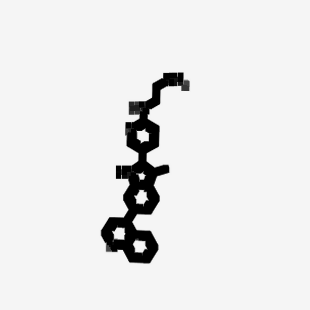 Cc1c(-c2ccc(NCCN)nc2)[nH]c2cc(-c3ccnc4ccccc34)ccc12